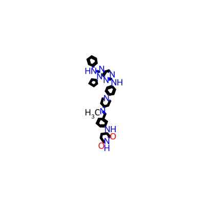 CN(Cc1cccc(NC2CCC(=O)NC2=O)c1)C1CCN(c2ccc(Nc3ncc4nc(Nc5ccccc5)n(C5CCCC5)c4n3)cc2)CC1